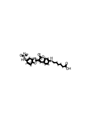 O=C(O)CCCCCNc1ccc2cc(-c3nc4cc(N[SH](=O)=O)ccc4o3)c(=O)oc2c1